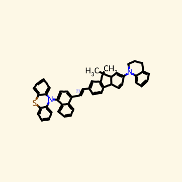 CC1(C)c2cc(/C=C/c3ccc(N4c5ccccc5Sc5ccccc54)c4ccccc34)ccc2C2C=CC(N3CCCc4ccccc43)=CC21